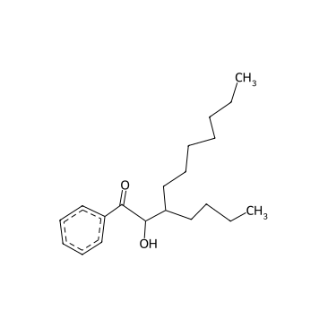 CCCCCCCC(CCCC)C(O)C(=O)c1ccccc1